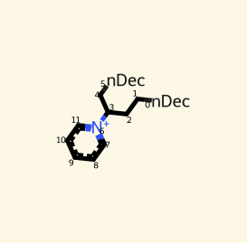 CCCCCCCCCCCCC(CCCCCCCCCCC)[n+]1ccccc1